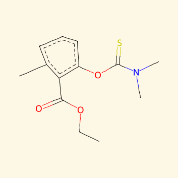 CCOC(=O)c1c(C)cccc1OC(=S)N(C)C